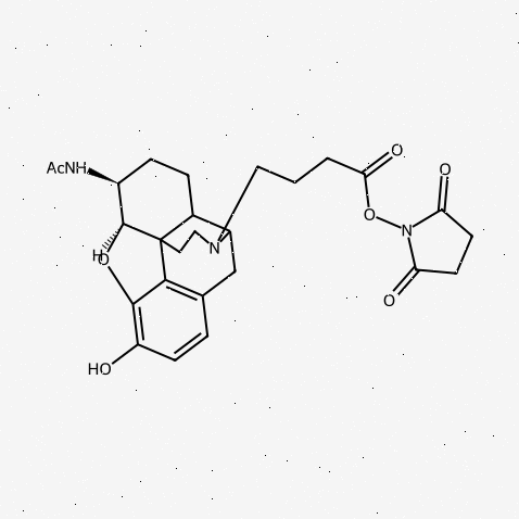 CC(=O)N[C@H]1CCC2C3Cc4ccc(O)c5c4C2(CCN3CCCC(=O)ON2C(=O)CCC2=O)[C@H]1O5